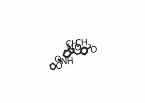 COc1cc(C=O)ccc1Cc1cn(C)c2ccc(NC(=O)OC3CCCC3)cc12